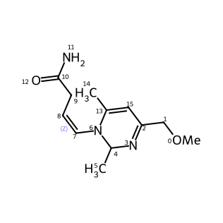 COCC1=NC(C)N(/C=C\CC(N)=O)C(C)=C1